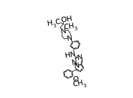 COc1ccccc1-c1ccc2cnc(Nc3cccc(N4CCN(CC(C)(C)O)CC4)c3)nn12